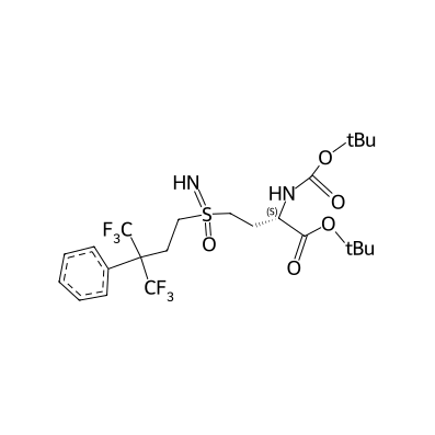 CC(C)(C)OC(=O)N[C@@H](CCS(=N)(=O)CCC(c1ccccc1)(C(F)(F)F)C(F)(F)F)C(=O)OC(C)(C)C